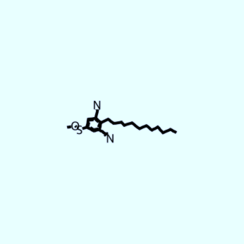 CCCCCCCCCCCCc1c(C#N)cc(SOC)cc1C#N